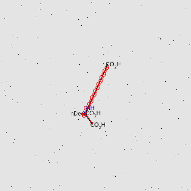 CCCCCCCCCCCN(C(=O)CCCCCCCCCC(=O)O)[C@@H](CCC(=O)NCCOCCOCCOCCOCCOCCOCCOCCOCCOCCOCCOCCOCCC(=O)O)C(=O)O